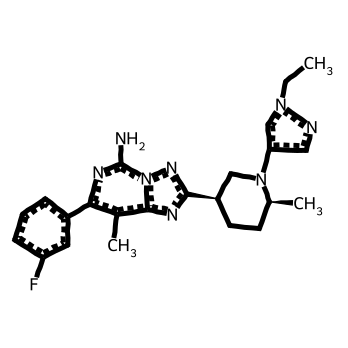 CCn1cc(N2C[C@H](c3nc4c(C)c(-c5cccc(F)c5)nc(N)n4n3)CC[C@@H]2C)cn1